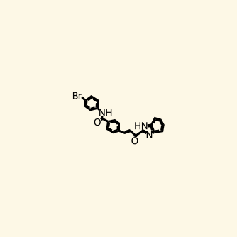 O=C(Nc1ccc(Br)cc1)c1ccc(C=CC(=O)c2nc3ccccc3[nH]2)cc1